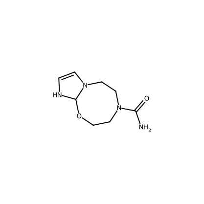 NC(=O)N1CCOC2NC=CN2CC1